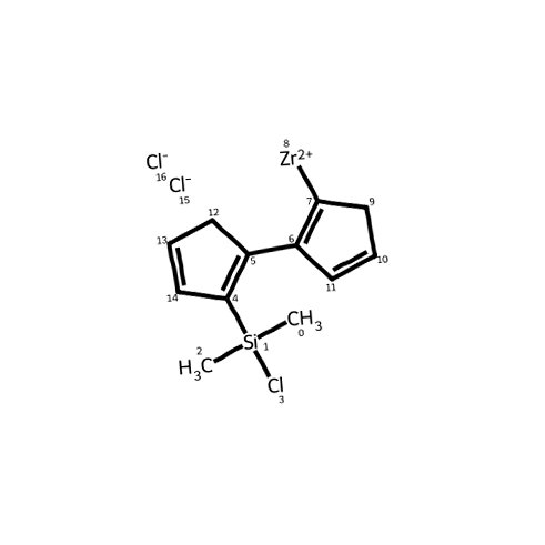 C[Si](C)(Cl)C1=C(C2=[C]([Zr+2])CC=C2)CC=C1.[Cl-].[Cl-]